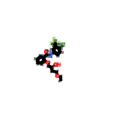 CCOCC[C@H](O)COc1ccccc1C(=O)Nc1ccc(Cl)c(C(F)(F)F)c1